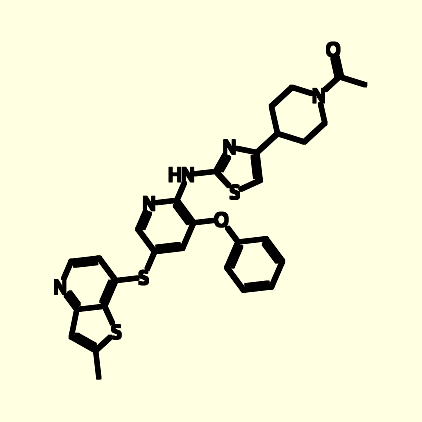 CC(=O)N1CCC(c2csc(Nc3ncc(Sc4ccnc5cc(C)sc45)cc3Oc3ccccc3)n2)CC1